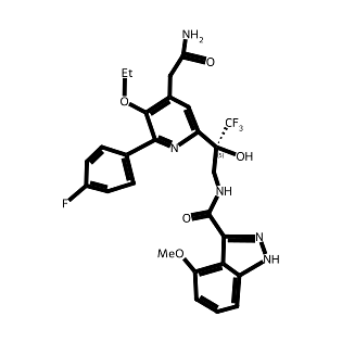 CCOc1c(CC(N)=O)cc([C@@](O)(CNC(=O)c2n[nH]c3cccc(OC)c23)C(F)(F)F)nc1-c1ccc(F)cc1